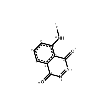 O=C1N=NC(=O)c2c(NF)cccc21